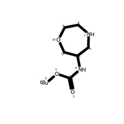 CC(C)(C)OC(=O)NC1CNCCOC1